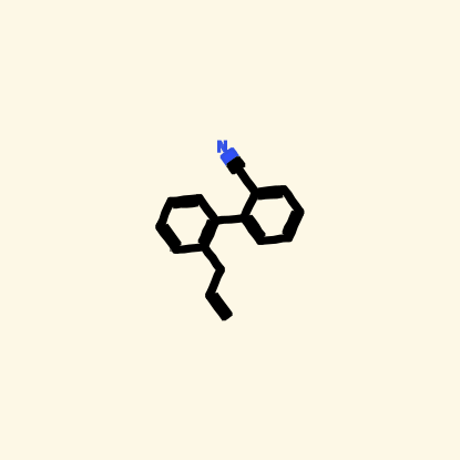 C=CCc1[c]cccc1-c1ccccc1C#N